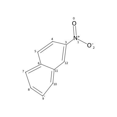 O=[N+]([O-])c1ccc2cc[c]cc2c1